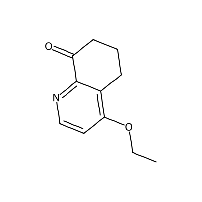 CCOc1ccnc2c1CCCC2=O